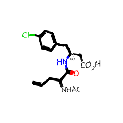 C=CCC(NC(C)=O)C(=O)N[C@H](CC(=O)O)Cc1ccc(Cl)cc1